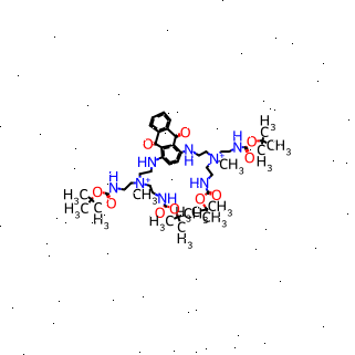 CC(C)(C)OC(=O)NCC[N+](C)(CCNC(=O)OC(C)(C)C)CCNc1ccc(NCC[N+](C)(CCNC(=O)OC(C)(C)C)CCNC(=O)OC(C)(C)C)c2c1C(=O)c1ccccc1C2=O